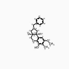 COc1cc2c(c(O)c1C)OC[C@@H]1CN(Cc3ccccc3)C[C@H]21